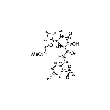 COCCOC1(c2nc(C(=O)NCc3ccc(F)cc3S(C)(=O)=O)c(O)c(=O)n2C)CCC1